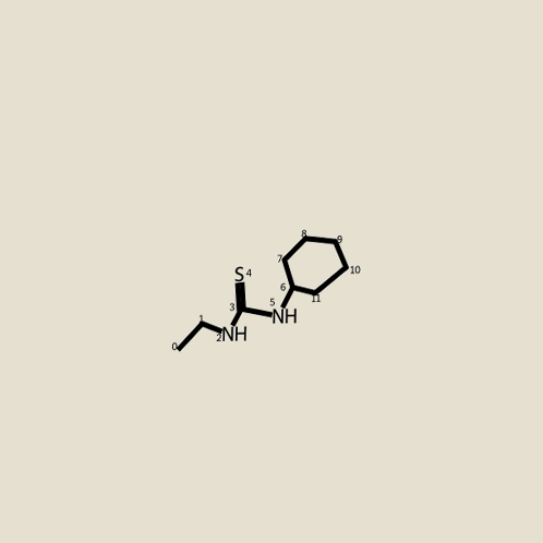 CCNC(=S)NC1CCCCC1